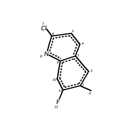 Cc1cc2ccc(Cl)nc2cc1F